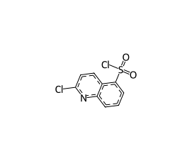 O=S(=O)(Cl)c1cccc2nc(Cl)ccc12